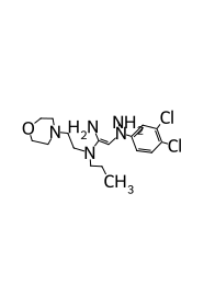 CCCN(CCN1CCOCC1)/C(N)=C/N(N)c1ccc(Cl)c(Cl)c1